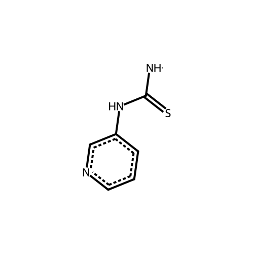 [NH]C(=S)Nc1cccnc1